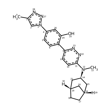 Cc1cn(-c2ccc(-c3ccc(N(C)[C@H]4C[C@@H]5CC[C@@H](C5)C4)nn3)c(O)c2)nn1